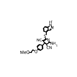 COCCOc1ccc(-c2c(C#N)c(N)nc(SCc3cccc4[nH]ncc34)c2C#N)cc1